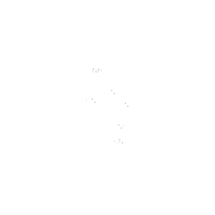 N#CCNc1cc(Nc2c[nH]c3ccccc23)ncn1